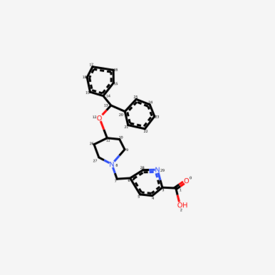 O=C(O)c1ccc(CN2CCC(OC(c3ccccc3)c3ccccc3)CC2)cn1